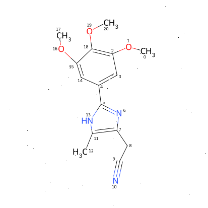 COc1cc(-c2nc(CC#N)c(C)[nH]2)cc(OC)c1OC